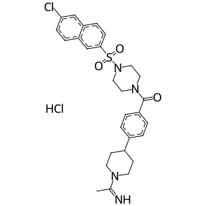 CC(=N)N1CCC(c2ccc(C(=O)N3CCN(S(=O)(=O)c4ccc5cc(Cl)ccc5c4)CC3)cc2)CC1.Cl